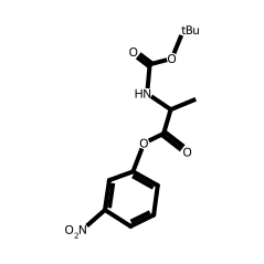 CC(NC(=O)OC(C)(C)C)C(=O)Oc1cccc([N+](=O)[O-])c1